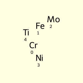 [Cr].[Fe].[Mo].[Ni].[Ti]